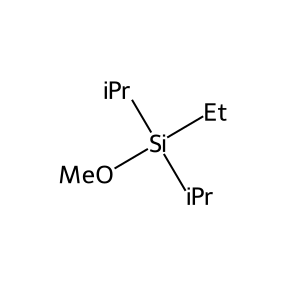 CC[Si](OC)(C(C)C)C(C)C